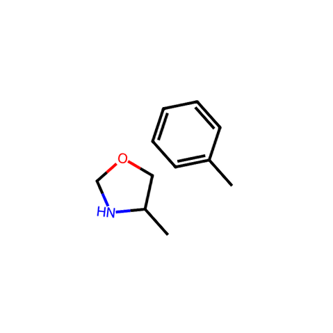 CC1COCN1.Cc1ccccc1